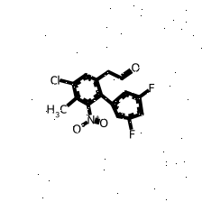 Cc1c(Cl)cc(CC=O)c(-c2cc(F)cc(F)c2)c1[N+](=O)[O-]